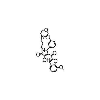 COc1cccc2cc(C(=O)C3=C(O)C(=O)N(CCCN4CCOCC4)C3c3cccc(Cl)c3)oc12